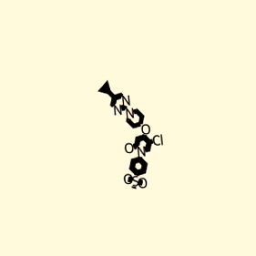 CS(=O)(=O)c1ccc(-n2cc(Cl)c(OC3CCN(c4ncc(C5CC5)cn4)CC3)cc2=O)cc1